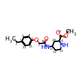 CCc1ccc(OCC(=O)NC2CCNC(C(=O)OC)C2)cc1